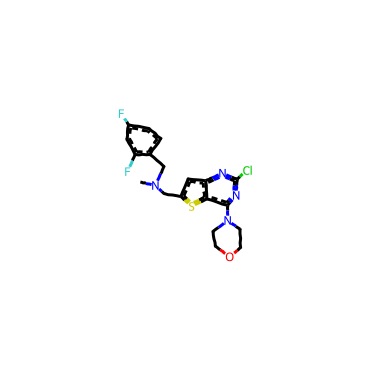 CN(Cc1cc2nc(Cl)nc(N3CCOCC3)c2s1)Cc1ccc(F)cc1F